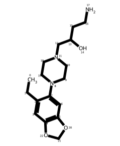 CCc1cc2c(cc1N1CCN(CC(O)CCN)CC1)OCO2